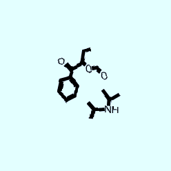 CC(C)NC(C)C.CCC(OC=O)C(=O)c1ccccc1